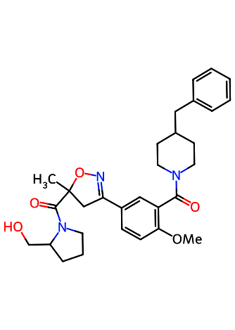 COc1ccc(C2=NOC(C)(C(=O)N3CCCC3CO)C2)cc1C(=O)N1CCC(Cc2ccccc2)CC1